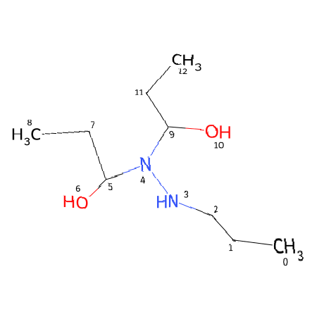 CCCNN(C(O)CC)C(O)CC